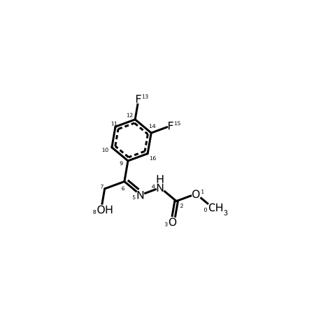 COC(=O)N/N=C(/CO)c1ccc(F)c(F)c1